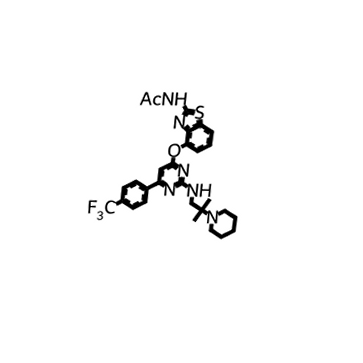 CC(=O)Nc1nc2c(Oc3cc(-c4ccc(C(F)(F)F)cc4)nc(NCC(C)(C)N4CCCCC4)n3)cccc2s1